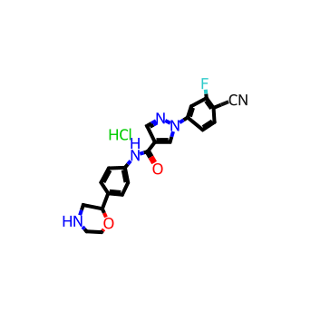 Cl.N#Cc1ccc(-n2cc(C(=O)Nc3ccc(C4CNCCO4)cc3)cn2)cc1F